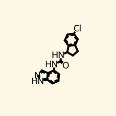 O=C(Nc1cccc2[nH]ncc12)NC1CCc2cc(Cl)ccc21